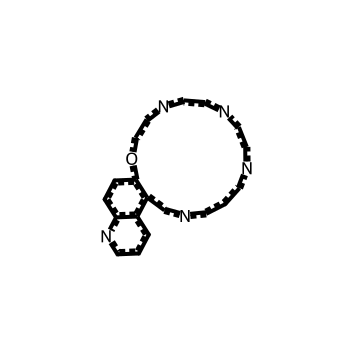 c1cnccnccnccoc2ccc3ncccc3c2cnc1